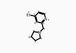 CCc1ccnc(CN2CCCC2)c1